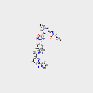 C=CC(=O)N[C@H]1C[C@@H](c2nc(-c3ccc(NC(=O)c4cccc(-c5ccn[nH]5)n4)c(F)c3)no2)CN(C)C1